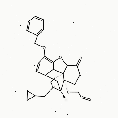 C=CCO[C@]12CCC(=O)C3OC4=C(OCc5ccccc5)C=CC5C[C@H]1N(CC1CC1)CC[C@]32C45